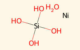 O.O[Si](O)(O)O.[Ni]